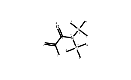 C=C(C)C(=O)N(S(C)(C)C)S(C)(C)C